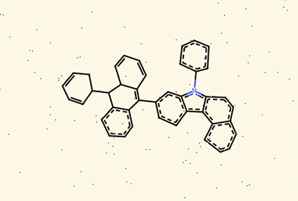 C1=CCC(C2c3ccccc3C(c3ccc4c5c6ccccc6ccc5n(-c5ccccc5)c4c3)=C3C=CC=CC32)C=C1